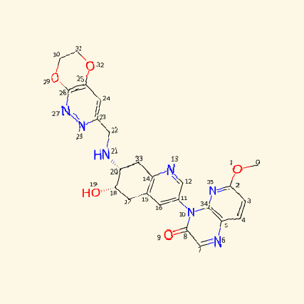 COc1ccc2ncc(=O)n(-c3cnc4c(c3)C[C@H](O)[C@H](NCc3cc5c(nn3)OCCO5)C4)c2n1